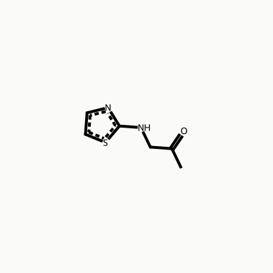 CC(=O)CNc1nccs1